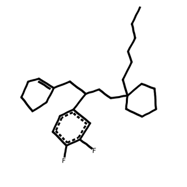 CCCCCCC1(CCC(CC2=CCCCC2)c2ccc(F)c(F)c2)CCCCC1